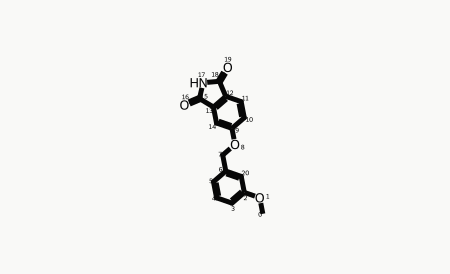 COc1cccc(COc2ccc3c(c2)C(=O)NC3=O)c1